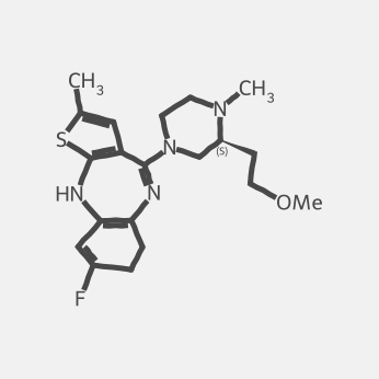 COCC[C@H]1CN(C2=NC3=C(C=C(F)CC3)Nc3sc(C)cc32)CCN1C